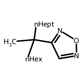 CCCCCCCC(C)(CCCCCC)c1cnon1